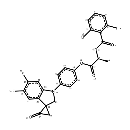 C[C@H](NC(=O)c1c(F)cccc1Cl)C(=O)Oc1ccc(N2CC3(CC3=O)c3cc(F)c(F)cc32)cc1